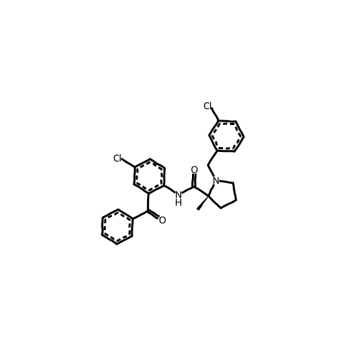 C[C@]1(C(=O)Nc2ccc(Cl)cc2C(=O)c2ccccc2)CCCN1Cc1cccc(Cl)c1